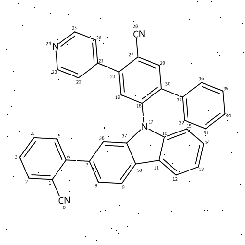 N#Cc1ccccc1-c1ccc2c3ccccc3n(-c3cc(-c4ccncc4)c(C#N)cc3-c3ccccc3)c2c1